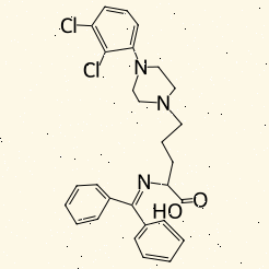 O=C(O)C(CCCN1CCN(c2cccc(Cl)c2Cl)CC1)N=C(c1ccccc1)c1ccccc1